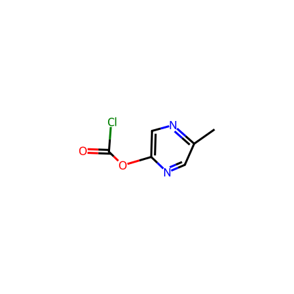 Cc1cnc(OC(=O)Cl)cn1